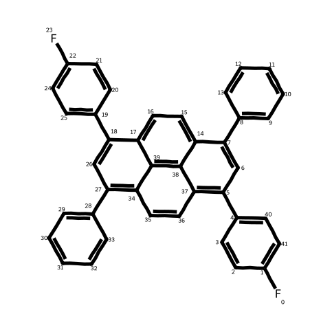 Fc1ccc(-c2cc(-c3ccccc3)c3ccc4c(-c5ccc(F)cc5)cc(-c5ccccc5)c5ccc2c3c54)cc1